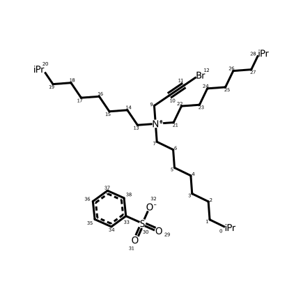 CC(C)CCCCCCC[N+](CC#CBr)(CCCCCCCC(C)C)CCCCCCCC(C)C.O=S(=O)([O-])c1ccccc1